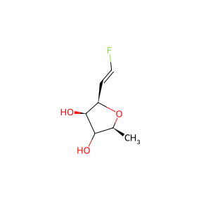 C[C@@H]1O[C@H](C=CF)[C@H](O)C1O